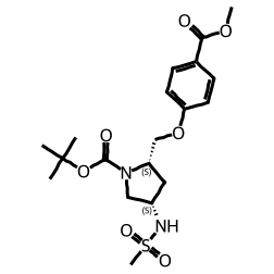 COC(=O)c1ccc(OC[C@@H]2C[C@H](NS(C)(=O)=O)CN2C(=O)OC(C)(C)C)cc1